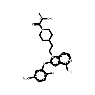 COc1ccc(Cl)c(Sc2nc3c(N)nccc3n2CCC2CCN(C(=O)[C@@H](C)O)CC2)c1